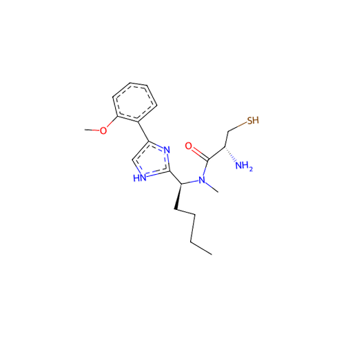 CCCC[C@@H](c1nc(-c2ccccc2OC)c[nH]1)N(C)C(=O)[C@@H](N)CS